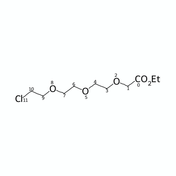 CCOC(=O)COCCOCCOCCCl